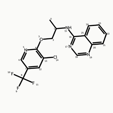 CC(COc1ncc(C(F)(F)F)cc1Cl)Nc1ncnc2ccccc12